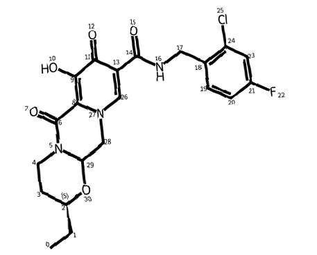 CC[C@H]1CCN2C(=O)c3c(O)c(=O)c(C(=O)NCc4ccc(F)cc4Cl)cn3CC2O1